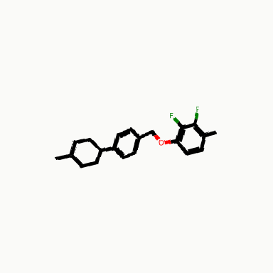 Cc1ccc(OCc2ccc(C3CCC(C)CC3)cc2)c(F)c1F